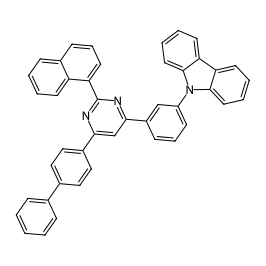 c1ccc(-c2ccc(-c3cc(-c4cccc(-n5c6ccccc6c6ccccc65)c4)nc(-c4cccc5ccccc45)n3)cc2)cc1